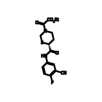 CCOC(=O)C(=O)N1CC[C@H](C(=O)Nc2ccc(F)c(C#N)c2)SC1